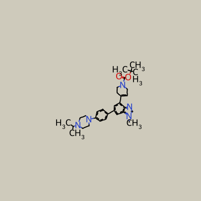 CC(C)N1CCN(c2ccc(-c3cc(C4=CCN(C(=O)OC(C)(C)C)CC4)c4ncn(C)c4c3)cc2)CC1